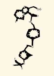 CCc1nc2ccc(F)cn2c1C(=O)NCc1ccc(OCc2ccc(OC(F)(F)F)cc2)cc1